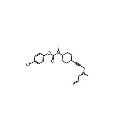 C=CCN(C)CC#CC1CCC(N(C)C(=O)Oc2ccc(Cl)cc2)CC1